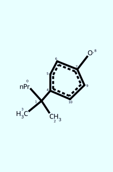 CCCC(C)(C)c1ccc([O])cc1